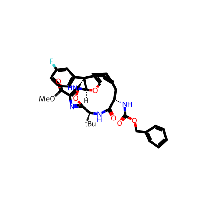 COC(=O)c1nc2oc1[C@@]13c4cc(F)ccc4N[C@@H]1Oc1ccc(cc13)C[C@H](NC(=O)OCc1ccccc1)C(=O)N[C@H]2C(C)(C)C